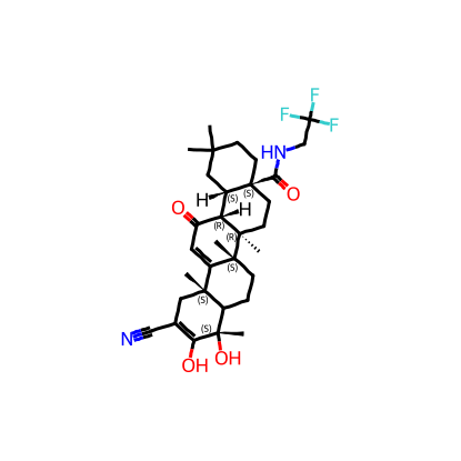 CC1(C)CC[C@]2(C(=O)NCC(F)(F)F)CC[C@]3(C)[C@H](C(=O)C=C4[C@@]5(C)CC(C#N)=C(O)[C@@](C)(O)C5CC[C@]43C)[C@@H]2C1